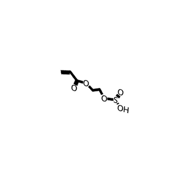 C=CC(=O)OCCOS(=O)O